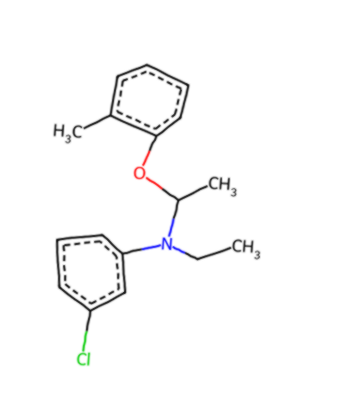 CCN(c1cccc(Cl)c1)C(C)Oc1ccccc1C